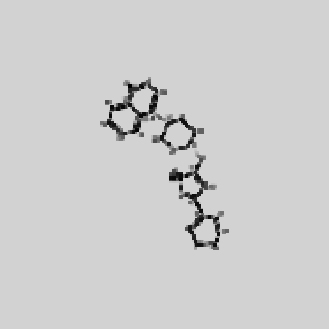 c1ccc(-c2c[nH]c(C[C@H]3CC[C@@H](c4ccnc5ccccc54)CC3)n2)cc1